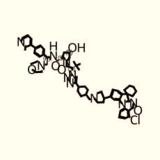 Cc1ncccc1-c1ccc([C@H](CN2CCOCC2)NC(=O)[C@@H]2C[C@@H](O)CN2C(=O)[C@@H](n2cc(C3CCC(CN4CCC(c5ccc6c(c5)-n5c(nc(=O)c7c(Cl)cccc75)C65CCCCC5)CC4)CC3)nn2)C(C)(C)C)cc1